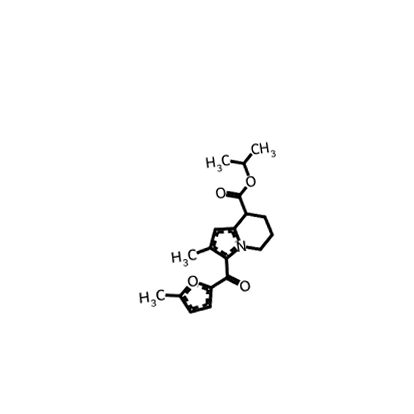 Cc1ccc(C(=O)c2c(C)cc3n2CCCC3C(=O)OC(C)C)o1